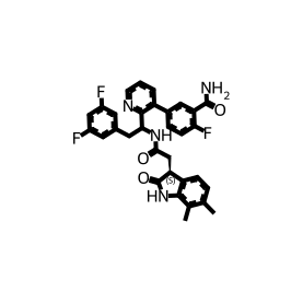 Cc1ccc2c(c1C)NC(=O)[C@H]2CC(=O)NC(Cc1cc(F)cc(F)c1)c1ncccc1-c1ccc(F)c(C(N)=O)c1